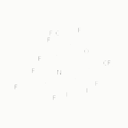 FCC(F)(F)N1C(F)(F)C(F)(C(F)(F)F)OC(F)(C(F)(F)F)C1(F)F